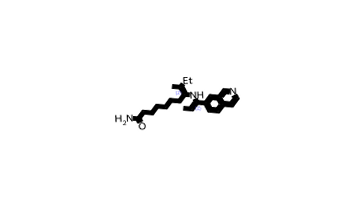 C/C=C(\N/C(CCCCCCC(N)=O)=C(/C)CC)c1ccc2ccncc2c1